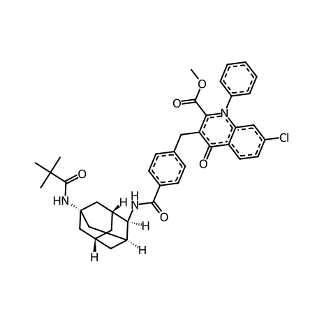 COC(=O)c1c(Cc2ccc(C(=O)N[C@@H]3[C@@H]4C[C@@H]5C[C@H]3C[C@@](NC(=O)C(C)(C)C)(C5)C4)cc2)c(=O)c2ccc(Cl)cc2n1-c1ccccc1